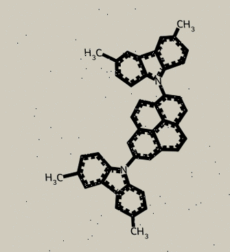 Cc1ccc2c(c1)c1cc(C)ccc1n2-c1cc2ccc3ccc(-n4c5ccc(C)cc5c5cc(C)ccc54)c4ccc(c1)c2c34